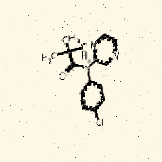 CC(C)(C)C(=O)N(c1ccc(Cl)cc1)c1cnccn1